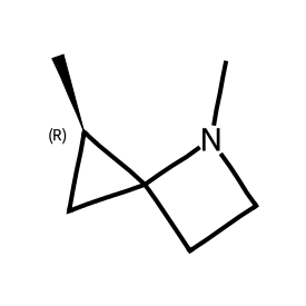 C[C@@H]1CC12CCN2C